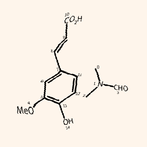 CN(C)C=O.COc1cc(C=CC(=O)O)ccc1O